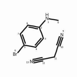 CNc1ccc(Br)cc1.N#CCC#N